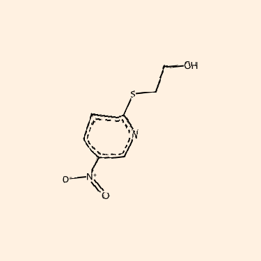 O=[N+]([O-])c1ccc(SCCO)nc1